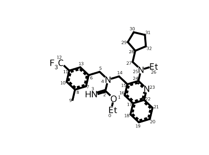 CCOC(=N)N(Cc1cc(C)cc(C(F)(F)F)c1)Cc1cc2ccccc2nc1N(CC)CC1CCCC1